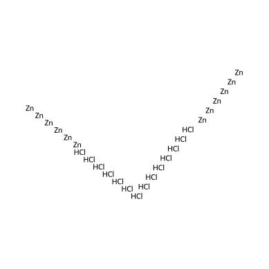 Cl.Cl.Cl.Cl.Cl.Cl.Cl.Cl.Cl.Cl.Cl.Cl.Cl.Cl.[Zn].[Zn].[Zn].[Zn].[Zn].[Zn].[Zn].[Zn].[Zn].[Zn].[Zn].[Zn]